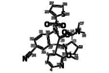 COc1ncccc1C1(N2CCC[C@H]2C(=O)N(C)C)C(=O)N(S(=O)(=O)c2cccs2)c2ccc(C#N)cc21